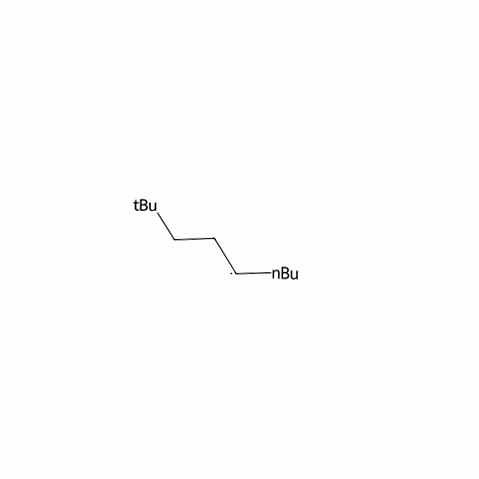 CCCC[CH]CCC(C)(C)C